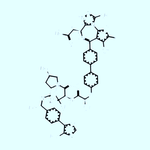 Cc1ncsc1-c1ccc([C@H](C)NC(=O)[C@@H]2C[C@@H](O)CN2C(=O)[C@@H](NC(=O)[C@H](C)Oc2ccc(-c3ccc(C4=N[C@@H](CC(=O)O)c5nnc(C)n5-c5sc(C)c(C)c54)cc3)cc2)C(C)(C)C)cc1